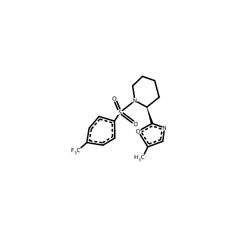 Cc1cnc([C@@H]2CCCCN2S(=O)(=O)c2ccc(C(F)(F)F)cc2)o1